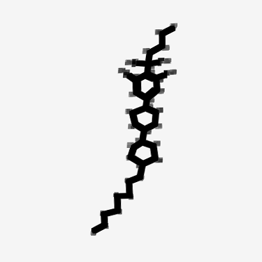 CCCCCCCCC1CCC(C2CCC(c3cc(F)c(C(F)(F)CCCC)c(F)c3)CC2)CC1